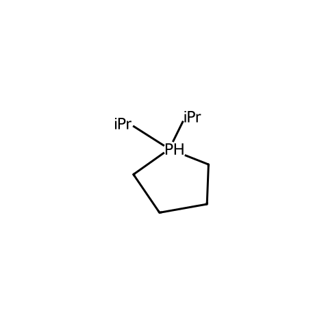 CC(C)[PH]1(C(C)C)CCCC1